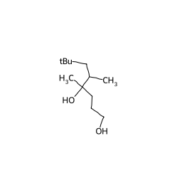 CC(CC(C)(C)C)C(C)(O)CCCO